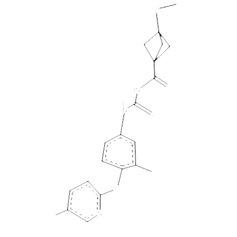 COC12CC(C(=O)NC(=O)Nc3ccc(Oc4ccc(F)cn4)c(C)c3)(C1)C2